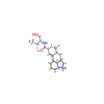 CN1CC(C(=O)NC(CO)C(F)C(F)(F)F)C=C2c3cccc4[nH]cc(c34)CC21